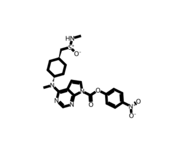 CN[S+]([O-])C[C@H]1CC[C@H](N(C)c2ncnc3c2ccn3C(=O)Oc2ccc([N+](=O)[O-])cc2)CC1